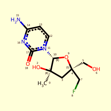 C[C@@]1(O)C[C@](CO)(CF)O[C@H]1n1ccc(N)nc1=O